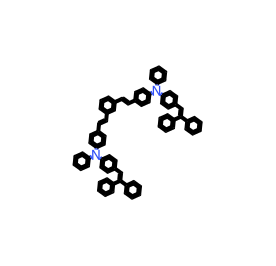 C(=C(c1ccccc1)c1ccccc1)c1ccc(N(c2ccccc2)c2ccc(/C=C/c3cccc(/C=C/c4ccc(N(c5ccccc5)c5ccc(C=C(c6ccccc6)c6ccccc6)cc5)cc4)c3)cc2)cc1